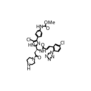 COC(=O)Nc1ccc(-c2nc([C@H](CC(=O)N3CCNCC3)NC(=O)/C=C/c3cc(Cl)ccc3-n3cnnn3)[nH]c2Cl)cc1